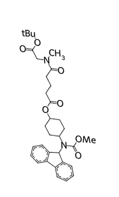 COC(=O)N(C1CCC(OC(=O)CCCC(=O)N(C)CC(=O)OC(C)(C)C)CC1)C1c2ccccc2-c2ccccc21